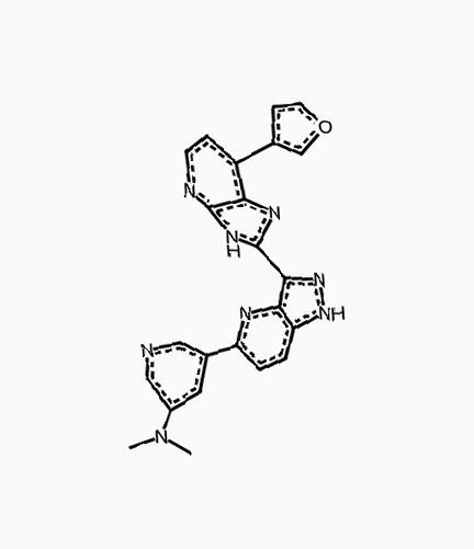 CN(C)c1cncc(-c2ccc3[nH]nc(-c4nc5c(-c6ccoc6)ccnc5[nH]4)c3n2)c1